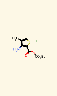 CCOC(=O)OC(=O)c1scc(C)c1N.Cl